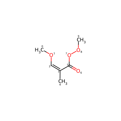 COC=C(C)C(=O)OOC